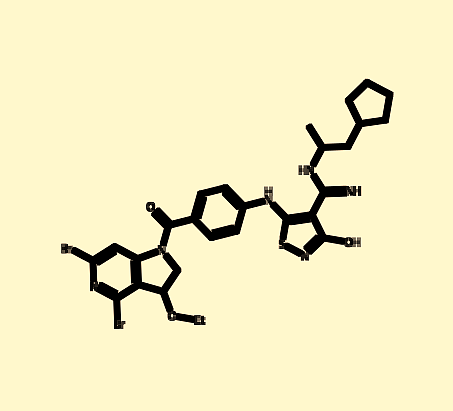 CCOC1CN(C(=O)c2ccc(Nc3snc(O)c3C(=N)NC(C)CC3CCCC3)cc2)c2cc(Br)nc(Br)c21